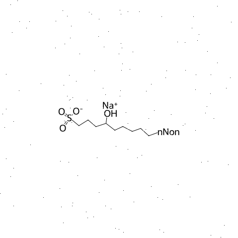 CCCCCCCCCCCCCCC(O)CCCS(=O)(=O)[O-].[Na+]